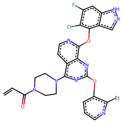 C=CC(=O)N1CCN(c2nc(Oc3cccnc3CC)nc3c(Oc4c(Cl)c(F)cc5[nH]ncc45)nccc23)CC1